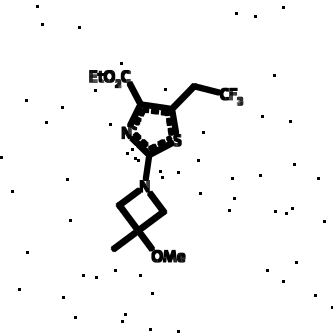 CCOC(=O)c1nc(N2CC(C)(OC)C2)sc1CC(F)(F)F